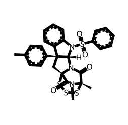 Cc1ccc([C@]23C[C@@]45SSS[C@@](C)(C(=O)N4[C@H]2N(S(=O)(=O)c2ccccc2)c2ccccc23)N(C)C5=O)cc1